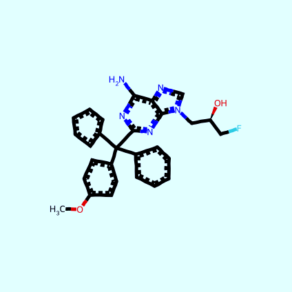 COc1ccc(C(c2ccccc2)(c2ccccc2)c2nc(N)c3ncn(C[C@@H](O)CF)c3n2)cc1